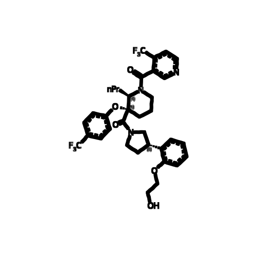 CCC[C@H]1N(C(=O)c2cnccc2C(F)(F)F)CCC[C@@]1(Oc1ccc(C(F)(F)F)cc1)C(=O)N1CC[C@@H](c2ccccc2OCCO)C1